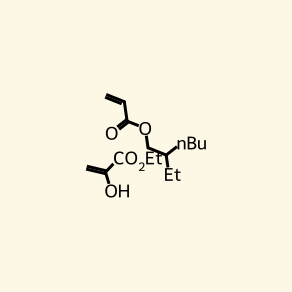 C=C(O)C(=O)OCC.C=CC(=O)OCC(CC)CCCC